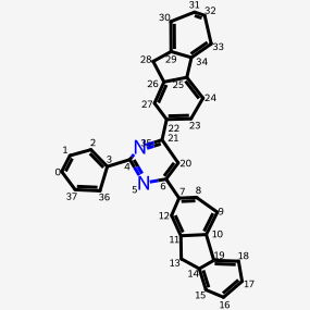 c1ccc(-c2nc(-c3ccc4c(c3)Cc3ccccc3-4)cc(-c3ccc4c(c3)Cc3ccccc3-4)n2)cc1